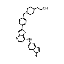 OCCN1CCN(Cc2ccc(-c3cc4nccc(Nc5ccc6[nH]ccc6c5)c4s3)cc2)CC1